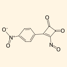 O=Nc1c(-c2ccc([N+](=O)[O-])cc2)c(=O)c1=O